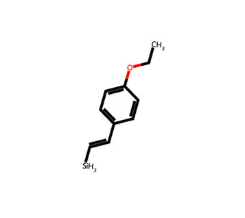 CCOc1ccc(C=C[SiH3])cc1